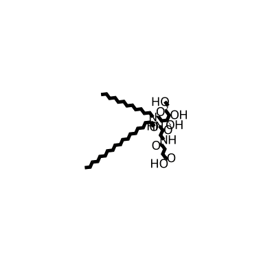 CCCCCCCCCCCCCCCCCC(=O)N(CCCCCCCCCCCC)[C@@H]1O[C@H](CO)[C@H](O)[C@H](O)[C@@H]1NC(=O)CNC(=O)CCC(=O)O